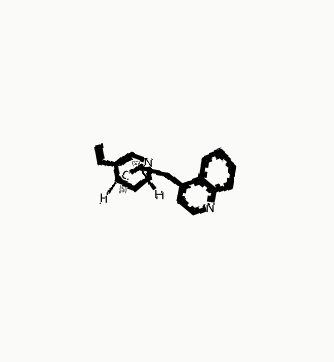 C=CC1=CN2CC[C@H]1C[C@H]2Cc1ccnc2ccccc12